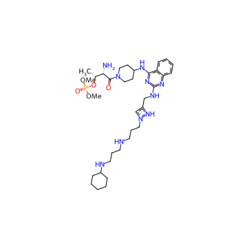 COP(=O)(OC)O[C@H](C)[C@H](N)C(=O)N1CCC(Nc2nc(NCc3cn(CCCNCCCNC4CCCCC4)[nH]3)nc3ccccc23)CC1